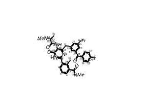 CNC(=O)c1cccc(-c2nc(Cc3cc(C(=O)c4ccc(F)cc4)cc(C(C)C)c3)c(NC(=O)[C@H](C)NC)c(=O)[nH]2)c1C